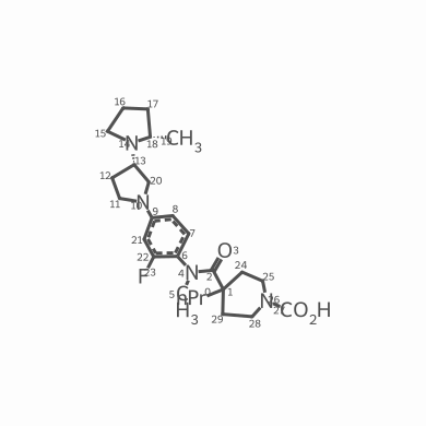 CCCC1(C(=O)N(C)c2ccc(N3CC[C@H](N4CCC[C@@H]4C)C3)cc2F)CCN(C(=O)O)CC1